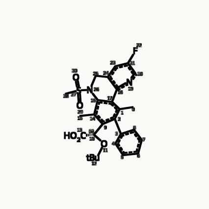 Cc1c(-c2ccccc2)c([C@H](OC(C)(C)C)C(=O)O)c(C)c2c1-c1ncc(F)cc1CN2S(C)(=O)=O